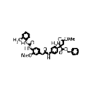 COC(=O)C[C@](N)(C(=O)OCc1ccccc1)c1ccc(NC(=O)Cc2ccc(NC(=O)Nc3ccccc3C)c(OC)c2)cc1